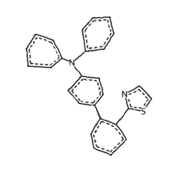 c1ccc(N(c2ccccc2)c2ccc(-c3ccccc3-c3nccs3)cc2)cc1